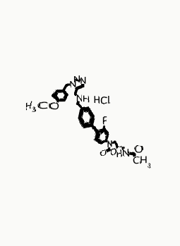 COc1ccc(Cn2nncc2CNCc2ccc(-c3ccc(N4C[C@H](CNC(C)=O)OC4=O)cc3F)cc2)cc1.Cl